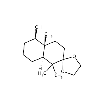 CC1(C)[C@H]2CCC[C@@H](O)[C@]2(C)CCC12OCCO2